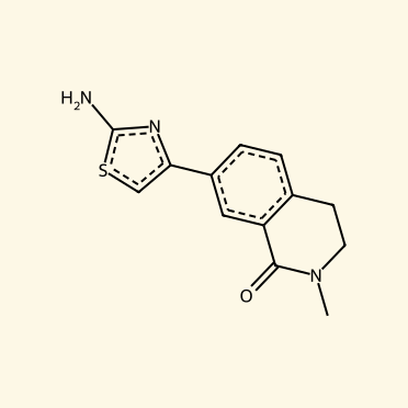 CN1CCc2ccc(-c3csc(N)n3)cc2C1=O